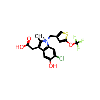 Cc1c(CC(=O)O)c2cc(O)c(Cl)cc2n1Cc1csc(OC(F)(F)F)c1